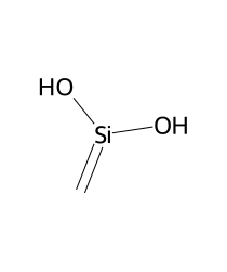 C=[Si](O)O